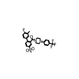 Cc1cc(-c2ccc(S(C)(=O)=O)cc2C(=O)N2CCN(c3ccc(C(F)(F)F)cc3)CC2)ccc1F